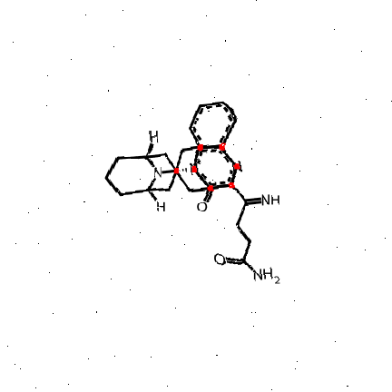 N=C(CCC(N)=O)c1nc2ccccc2n([C@H]2C[C@H]3CCC[C@@H](C2)N3C2CC3CCCC(C3)C2)c1=O